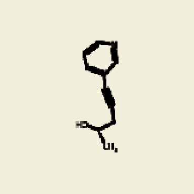 C[C@@H](O)CC#Cc1cccnc1